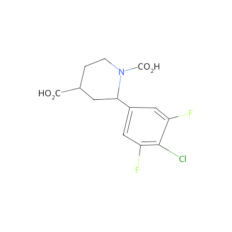 O=C(O)C1CCN(C(=O)O)C(c2cc(F)c(Cl)c(F)c2)C1